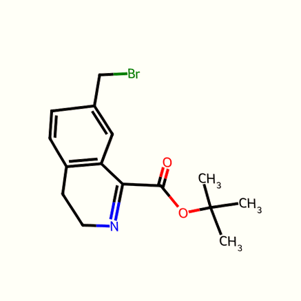 CC(C)(C)OC(=O)C1=NCCc2ccc(CBr)cc21